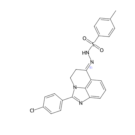 Cc1ccc(S(=O)(=O)N/N=C2\CCn3c(-c4ccc(Cl)cc4)nc4cccc2c43)cc1